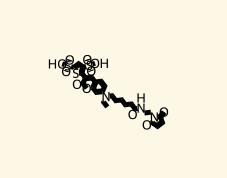 CCN(CCCCCC(=O)NCCN1C(=O)C=CC1=O)c1ccc2cc(-c3sc(S(=O)(=O)O)cc3S(=O)(=O)O)c(=O)oc2c1